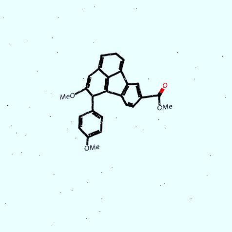 COC(=O)c1ccc2c(c1)C1=CCC=C3C=C(OC)C(c4ccc(OC)cc4)C2=C31